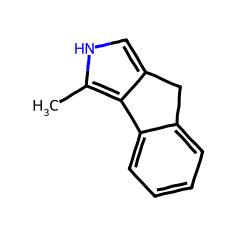 Cc1[nH]cc2c1-c1ccccc1C2